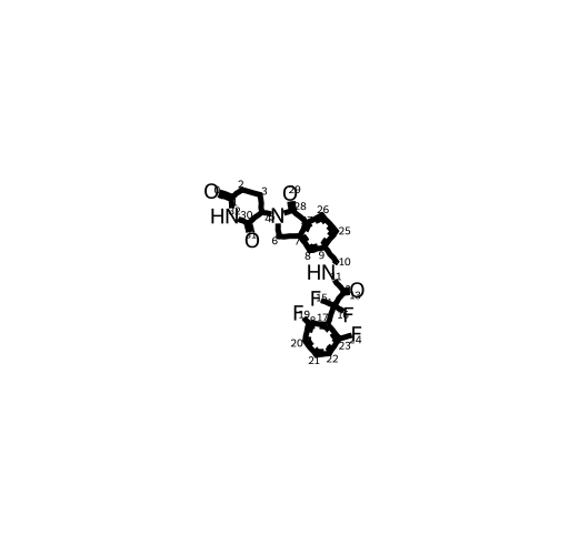 O=C1CCC(N2Cc3cc(CNC(=O)C(F)(F)c4c(F)cccc4F)ccc3C2=O)C(=O)N1